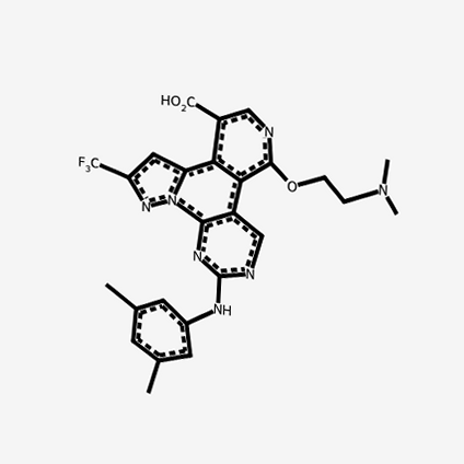 Cc1cc(C)cc(Nc2ncc3c4c(OCCN(C)C)ncc(C(=O)O)c4c4cc(C(F)(F)F)nn4c3n2)c1